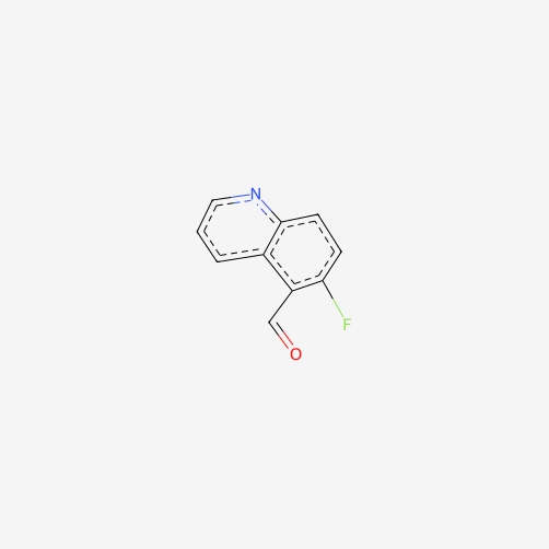 O=Cc1c(F)ccc2ncccc12